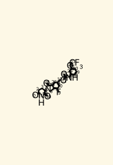 O=C1CCC(N2Cc3c(F)cc(COC(=O)Nc4cccc(OC(F)(F)F)c4)cc3C2=O)C(=O)N1